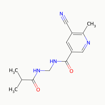 Cc1ncc(C(=O)NCNC(=O)C(C)C)cc1C#N